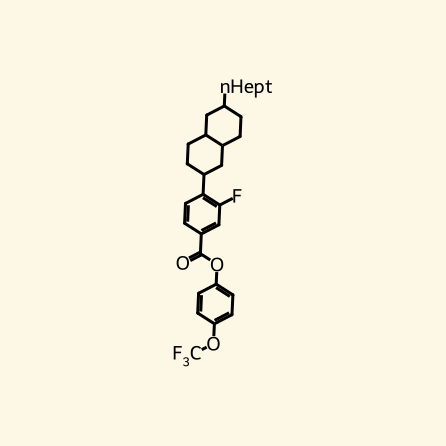 CCCCCCCC1CCC2CC(c3ccc(C(=O)Oc4ccc(OC(F)(F)F)cc4)cc3F)CCC2C1